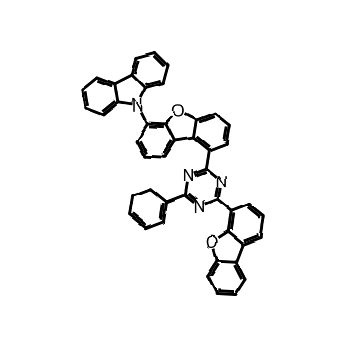 C1=CCCC(c2nc(-c3cccc4c3oc3ccccc34)nc(-c3cccc4oc5c(-n6c7ccccc7c7ccccc76)cccc5c34)n2)=C1